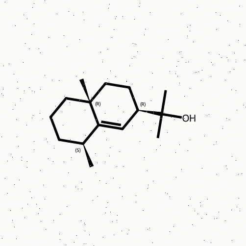 C[C@H]1CCC[C@]2(C)CC[C@@H](C(C)(C)O)C=C12